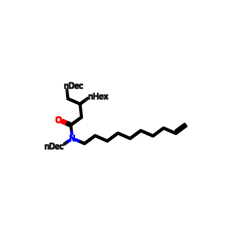 C=CCCCCCCCCN(CCCCCCCCCC)C(=O)CC(CCCCCC)CCCCCCCCCCC